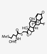 CSCCC(NC=O)C(=O)SCC(=O)[C@@]1(O)[C@H](C)C[C@H]2[C@@H]3CC(F)C4=CC(=O)C=C[C@]4(C)[C@@]3(F)[C@H](O)C[C@@]21C